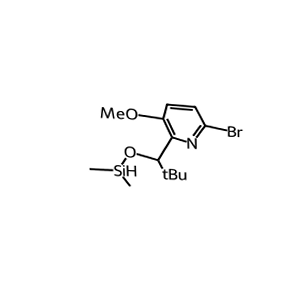 COc1ccc(Br)nc1C(O[SiH](C)C)C(C)(C)C